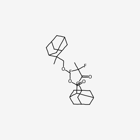 CC(F)(F)C(=O)OC12CC3CC(C1)C(C(=O)OCOCC1(C)C4CC5CC(C4)CC1C5)C(C3)C2